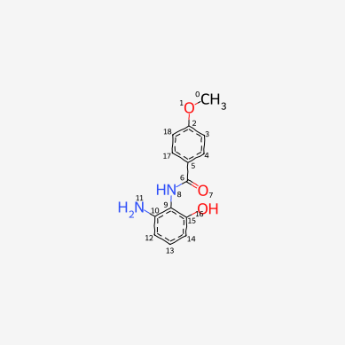 COc1ccc(C(=O)Nc2c(N)cccc2O)cc1